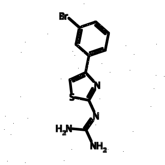 NC(N)=Nc1nc(-c2cccc(Br)c2)cs1